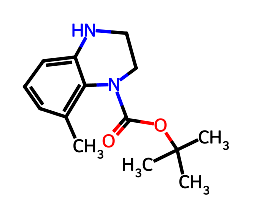 Cc1cccc2c1N(C(=O)OC(C)(C)C)CCN2